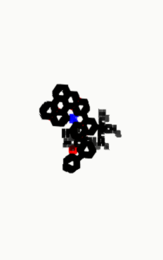 CC(C)(C)c1cc(-c2ccccc2N(c2ccc(-c3cccc4c3oc3ccccc34)cc2)c2ccccc2-c2cccc3cccc(-c4ccccc4)c23)cc(C(C)(C)C)c1